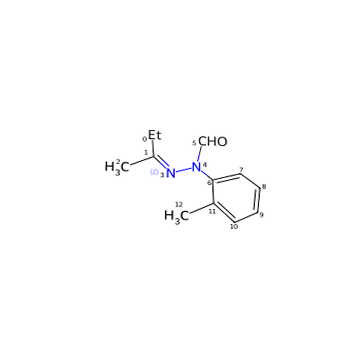 CC/C(C)=N\N(C=O)c1ccccc1C